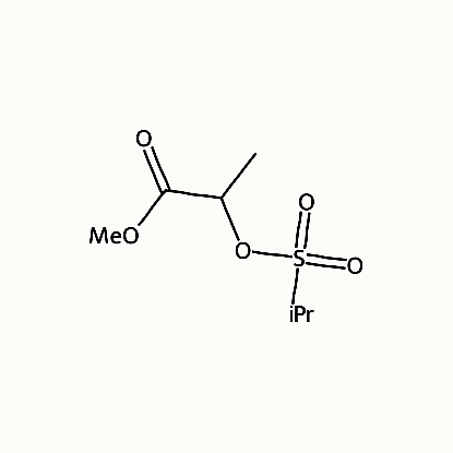 COC(=O)C(C)OS(=O)(=O)C(C)C